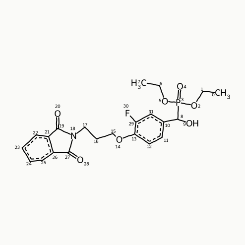 CCOP(=O)(OCC)C(O)c1ccc(OCCCN2C(=O)c3ccccc3C2=O)c(F)c1